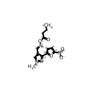 CCCC(=O)ON=Cc1cn(C)nc1-c1ccc([N+](=O)[O-])o1